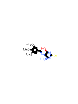 COc1cc(C=Nc2c(N)nc(S)nc2O)cc(OC)c1OC